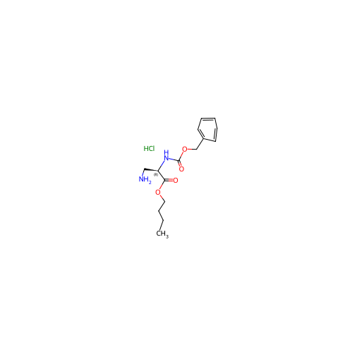 CCCCOC(=O)[C@@H](CN)NC(=O)OCc1ccccc1.Cl